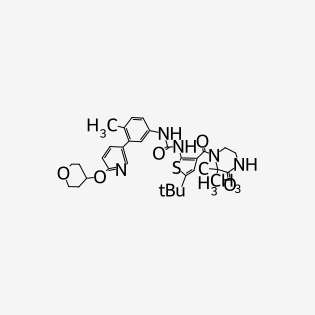 Cc1ccc(NC(=O)Nc2sc(C(C)(C)C)cc2C(=O)N2CCNC(=O)C2(C)C)cc1-c1ccc(OC2CCOCC2)nc1